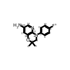 CC1(C)CN(c2ccc(F)cc2)c2ncc(N)cc2O1